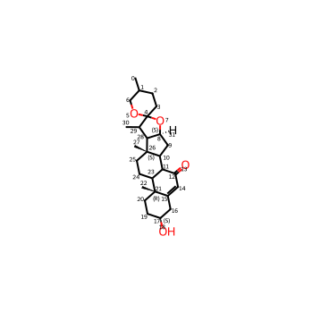 CC1CCC2(OC1)O[C@H]1CC3C4C(=O)C=C5C[C@@H](O)CC[C@]5(C)C4CC[C@]3(C)C1C2C